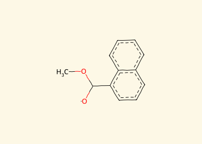 COC([O])c1cccc2ccccc12